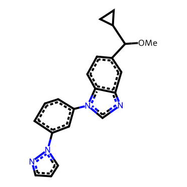 COC(c1ccc2c(c1)ncn2-c1cccc(-n2cccn2)c1)C1CC1